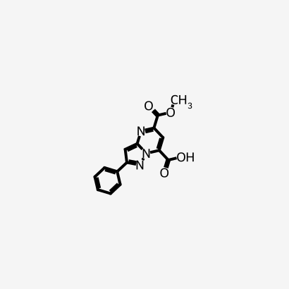 COC(=O)c1cc(C(=O)O)n2nc(-c3ccccc3)cc2n1